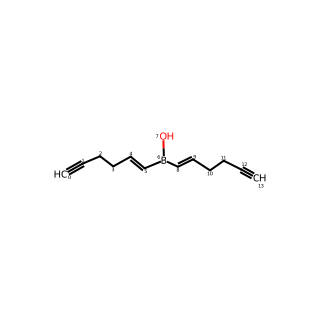 C#CCCC=CB(O)C=CCCC#C